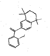 C=C(c1ccc2c(c1)C(C)(C)CCC2(C)C)c1ccccc1I